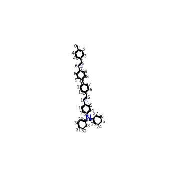 Cc1ccc(/C=C/c2ccc(-c3ccc(/C=C/c4ccc(N(C5=CCCC=C5)C5=CC=CCC5)cc4)cc3)cc2)cc1